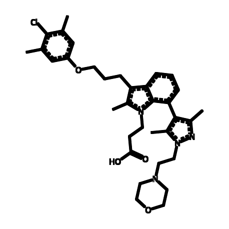 Cc1cc(OCCCc2c(C)n(CCC(=O)O)c3c(-c4c(C)nn(CCN5CCOCC5)c4C)cccc23)cc(C)c1Cl